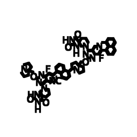 Cc1cccc2cccc(-c3ncc4c(N5CCCC6(C5)NC(=O)NC6=O)nc(OCC56CCCN5C(c5ccc(C#N)c7c(-c8ncc9c(N%10CCCC%11(C%10)NC(=O)NC%11=O)nc(OCC%10%11CCCN%10CCC%11)nc9c8F)cccc57)CC6)nc4c3F)c12